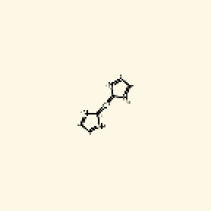 C(=C1N=CC=N1)=C1N=CC=N1